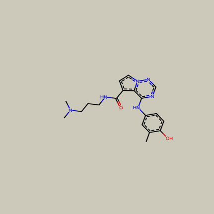 Cc1cc(Nc2ncnn3ccc(C(=O)NCCCN(C)C)c23)ccc1O